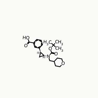 CC(C)(C)OC(=O)N(CC1CCOCC1)[C@@H]1C[C@H]1c1cccc(C(=O)O)c1